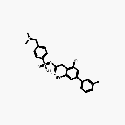 Cc1cccc(-c2cc(C(C)C)c(CC(=O)N=S(N)(=O)c3ccc(CN(C)C)cc3)c(C(C)C)c2)c1